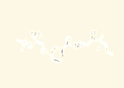 CCCC(C)(C)NCCNC(=O)c1cccc(OCC(N)OC(C)(C)C)c1